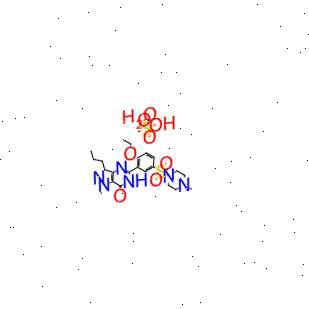 CCCc1nn(C)c2c(=O)[nH]c(-c3cc(S(=O)(=O)N4CCN(C)CC4)ccc3OCC)nc12.CS(=O)(=O)O.O